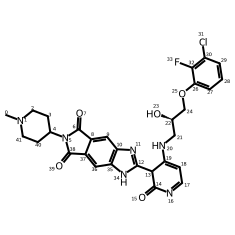 CN1CCC(N2C(=O)c3cc4nc(C5C(=O)N=CC=C5NC[C@@H](O)COc5cccc(Cl)c5F)[nH]c4cc3C2=O)CC1